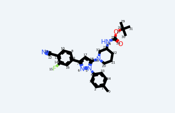 Cc1ccc(-n2nc(-c3ccc(C#N)c(F)c3)cc2N2CCCC(NC(=O)OC(C)(C)C)C2)cc1